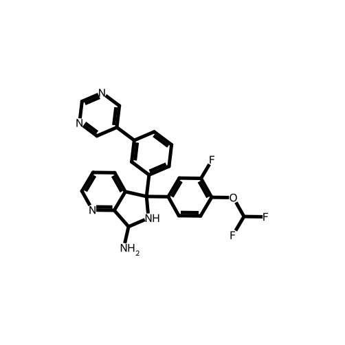 NC1NC(c2cccc(-c3cncnc3)c2)(c2ccc(OC(F)F)c(F)c2)c2cccnc21